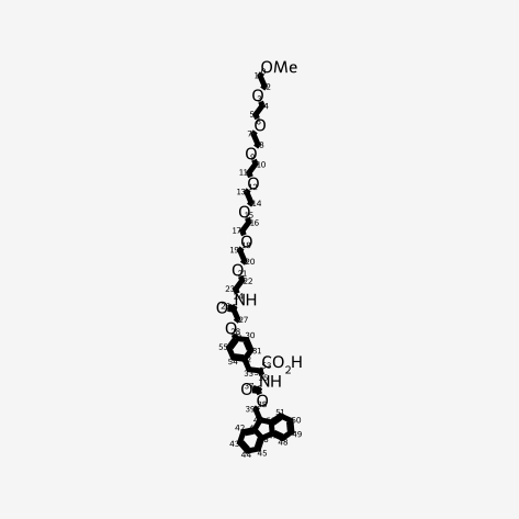 COCCOCCOCCOCCOCCOCCOCCOCCNC(=O)COc1ccc(C[C@H](NC(=O)OCC2c3ccccc3-c3ccccc32)C(=O)O)cc1